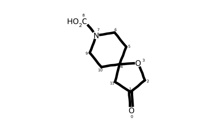 O=C1COC2(CCN(C(=O)O)CC2)C1